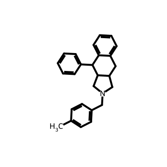 Cc1ccc(CN2CC3Cc4ccccc4C(c4ccccc4)C3C2)cc1